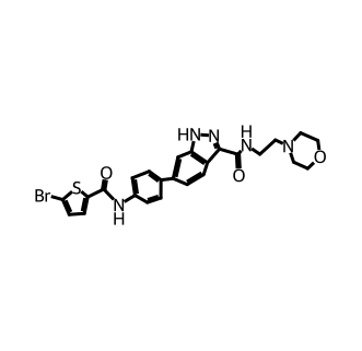 O=C(Nc1ccc(-c2ccc3c(C(=O)NCCN4CCOCC4)n[nH]c3c2)cc1)c1ccc(Br)s1